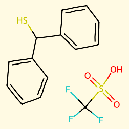 O=S(=O)(O)C(F)(F)F.SC(c1ccccc1)c1ccccc1